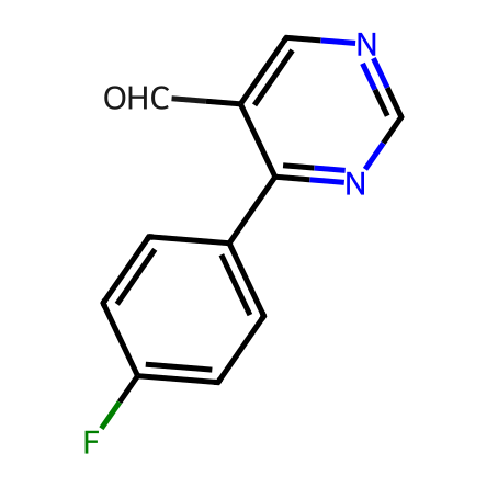 O=Cc1cncnc1-c1ccc(F)cc1